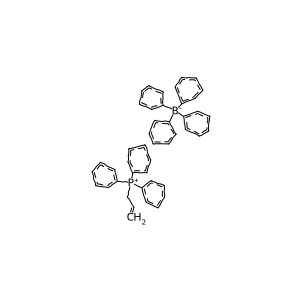 C=CC[P+](c1ccccc1)(c1ccccc1)c1ccccc1.c1ccc([B-](c2ccccc2)(c2ccccc2)c2ccccc2)cc1